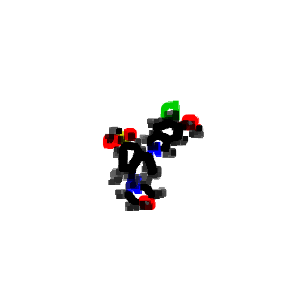 C=C(c1cc(S(C)(=O)=O)ccc1N1CCOCC1)N1Cc2cc(Cl)c(OC)cc2C1